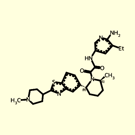 CCc1cc(NC(=O)C(=O)N2[C@@H](c3ccc4sc(C5CCN(C)CC5)nc4c3)CCC[C@@H]2C)cnc1N